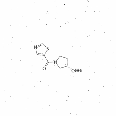 CO[C@H]1CCN(C(=O)c2cncs2)C1